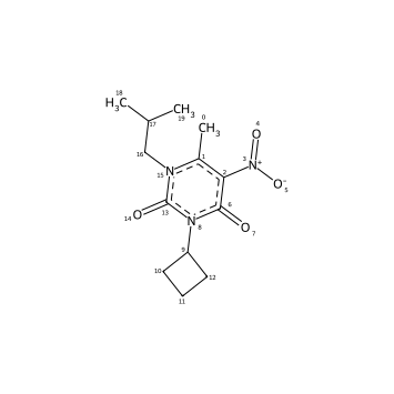 Cc1c([N+](=O)[O-])c(=O)n(C2CCC2)c(=O)n1CC(C)C